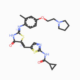 Cc1cc(OCCN2CCCC2)ccc1/N=C1/NC(=O)/C(=C/c2cnc(NC(=O)C3CC3)s2)S1